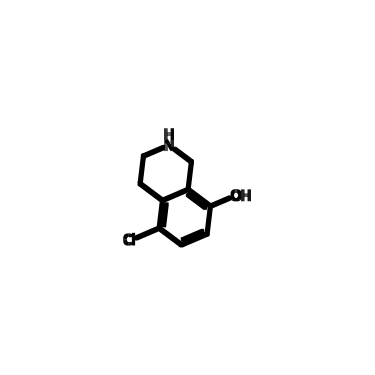 Oc1ccc(Cl)c2c1CNCC2